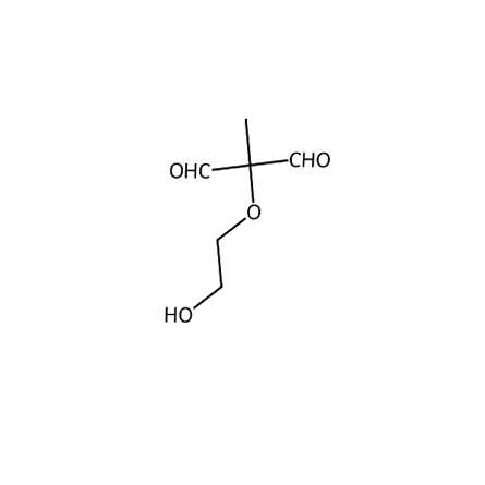 CC(C=O)(C=O)OCCO